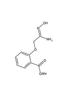 COC(=O)c1ccccc1OC/C(N)=N/O